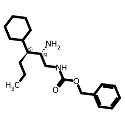 CCC[C@@H](C1CCCCC1)[C@H](N)CNC(=O)OCc1ccccc1